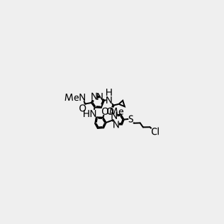 CNC(=O)c1nnc(NC(=O)C2CC2)cc1Nc1cccc(-c2ncc(SCCCCCl)cn2)c1OC